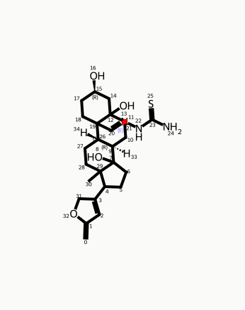 C=C1C=C(C2CCC3(O)[C@@H]4CCC5(O)C[C@H](O)CCC5(/C=N/NC(N)=S)[C@H]4CCC23C)CO1